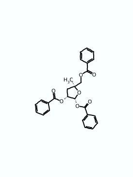 C[C@@]1(COC(=O)c2ccccc2)C[C@@H](OC(=O)c2ccccc2)[C@@H](OC(=O)c2ccccc2)O1